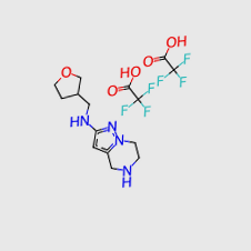 O=C(O)C(F)(F)F.O=C(O)C(F)(F)F.c1c(NCC2CCOC2)nn2c1CNCC2